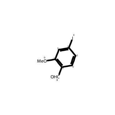 COc1cc(I)ccc1C=O